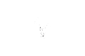 c1ccc([Si]2(c3ccccc3)c3ccccc3-c3ccc(-n4c5ccc(-c6cc7ccccc7c7ccccc67)cc5c5cc(-c6cc7ccccc7c7ccccc67)ccc54)cc32)cc1